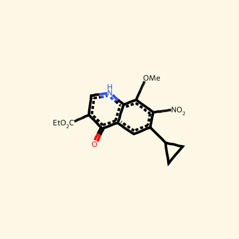 CCOC(=O)c1c[nH]c2c(OC)c([N+](=O)[O-])c(C3CC3)cc2c1=O